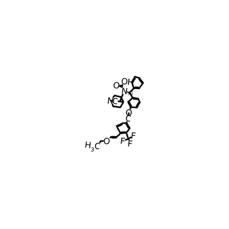 CCOC=Cc1ccc(COc2cccc([C@H](c3ccccc3)N(C(=O)O)C3CN4CCC3CC4)c2)cc1C(F)(F)F